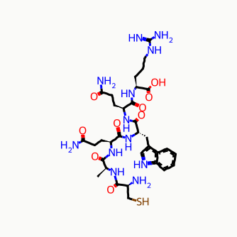 C[C@H](NC(=O)[C@@H](N)CS)C(=O)N[C@@H](CCC(N)=O)C(=O)N[C@@H](Cc1c[nH]c2ccccc12)C(=O)N[C@@H](CCC(N)=O)C(=O)N[C@@H](CCCNC(=N)N)C(=O)O